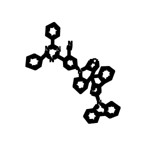 N#Cc1cc(N2c3ccccc3C3(c4ccccc4-c4cc(-n5c6ccccc6c6ccccc65)ccc43)c3ccccc32)ccc1-c1nc(-c2ccccc2)nc(-c2ccccc2)n1